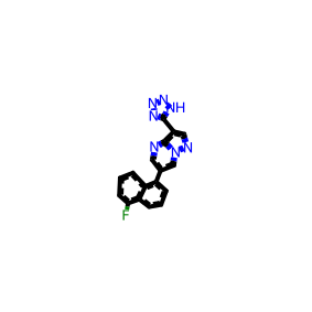 Fc1cccc2c(-c3cnc4c(-c5nnn[nH]5)cnn4c3)cccc12